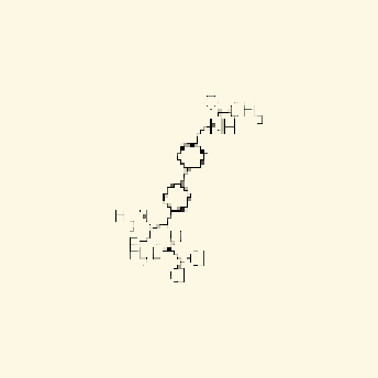 C=C(O[C@@H](c1ccc(-c2ccc(CNC(C)=O)cc2)cc1)[C@H](N)CF)C(Cl)Cl